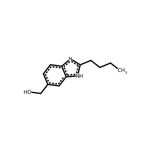 CCCCc1nc2ccc(CO)cc2[nH]1